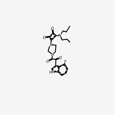 CCCN(CCC)c1c(N2CCN(C(=O)C(=O)c3c[nH]c4cccc(F)c34)CC2)c(=O)c1=O